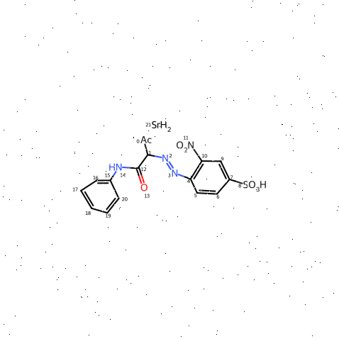 CC(=O)C(N=Nc1ccc(S(=O)(=O)O)cc1[N+](=O)[O-])C(=O)Nc1ccccc1.[SrH2]